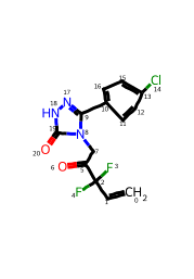 C=CC(F)(F)C(=O)Cn1c(-c2ccc(Cl)cc2)n[nH]c1=O